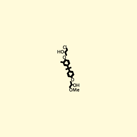 COC[C@H](O)COc1ccc(C(C)(C)c2ccc(OC[C@H](O)CCl)c(C)c2)cc1